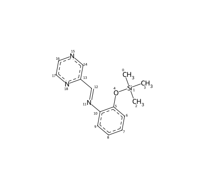 C[Si](C)(C)Oc1ccccc1N=Cc1cnccn1